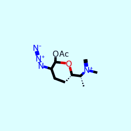 C=[N+](C)[C@H](C)[C@@H]1CCC(N=[N+]=[N-])C(OC(C)=O)O1